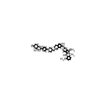 Cc1cccc(C)c1Nc1nn(C)c2nc(Nc3ccc4c(c3)CN(CC3CCN(c5ccc(C(=O)NC6CCC(=O)NC6=O)nc5)CC3)CC4)ncc12